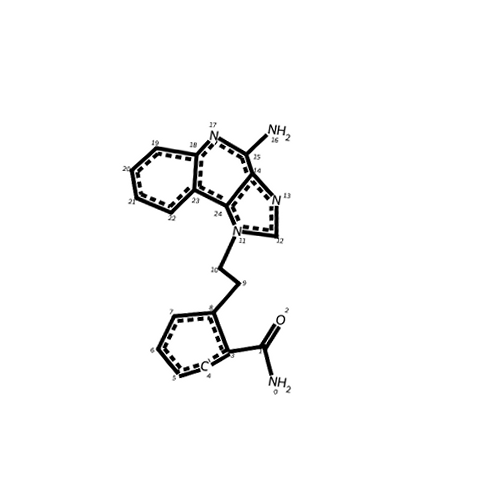 NC(=O)c1ccccc1CCn1cnc2c(N)nc3ccccc3c21